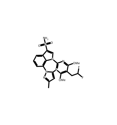 COc1nc(-n2cc(S(N)(=O)=O)c3cccc(-n4nc(C)cc4C)c32)nc(OC)c1CC(F)F